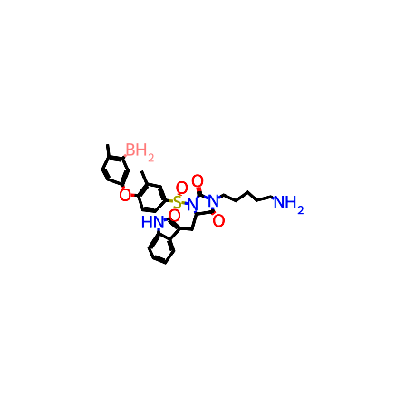 Bc1cc(Oc2ccc(S(=O)(=O)N3C(=O)N(CCCCCN)C(=O)C3Cc3c[nH]c4ccccc34)cc2C)ccc1C